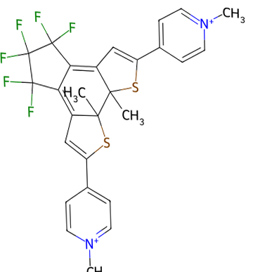 C[n+]1ccc(C2=CC3=C4C(=C5C=C(c6cc[n+](C)cc6)SC5(C)C3(C)S2)C(F)(F)C(F)(F)C4(F)F)cc1